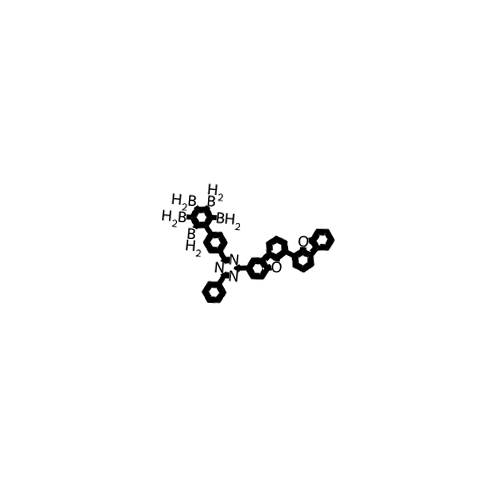 Bc1c(B)c(B)c(-c2ccc(-c3nc(-c4ccccc4)nc(-c4ccc5oc6c(-c7cccc8c7oc7ccccc78)cccc6c5c4)n3)cc2)c(B)c1B